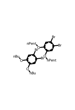 CCCCCOc1cc(Br)c(Br)cc1OCCCCC.CCCCOc1cc(Br)c(Br)cc1OCCCC